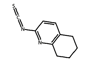 S=C=Nc1ccc2c(n1)CCCC2